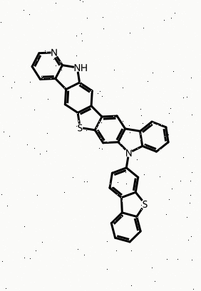 c1ccc2c(c1)sc1cc(-n3c4ccccc4c4cc5c(cc43)sc3cc4c(cc35)[nH]c3ncccc34)ccc12